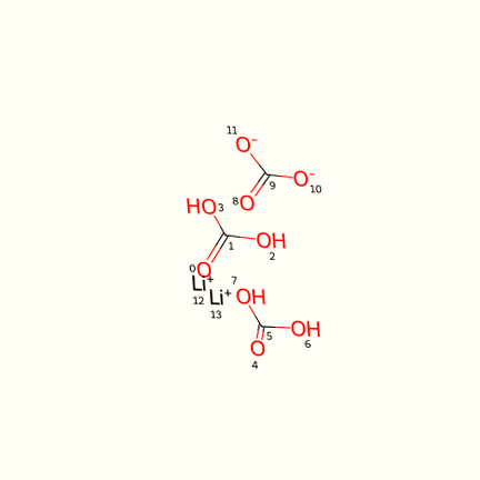 O=C(O)O.O=C(O)O.O=C([O-])[O-].[Li+].[Li+]